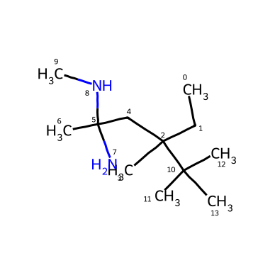 CCC(C)(CC(C)(N)NC)C(C)(C)C